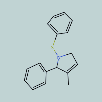 CC1=CCN(Sc2ccccc2)C1c1ccccc1